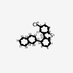 Clc1ccc2sc3cccc(-c4ccc5ccccc5c4)c3c2c1